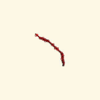 C=CC(=O)OCCCCCCOc1ccc(C(=O)Oc2ccc(OC(=O)c3ccc(OCCCCCCCCOC(=O)CCCCCOC(=O)CCC(=O)OCCCCCCCCOc4ccc(C(=O)Oc5ccc(OC(=O)C6CCC(C7CCC(CCCCC)CC7)CC6)cc5)cc4)cc3)cc2)cc1